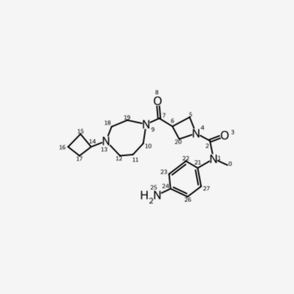 CN(C(=O)N1CC(C(=O)N2CCCN(C3CCC3)CC2)C1)c1ccc(N)cc1